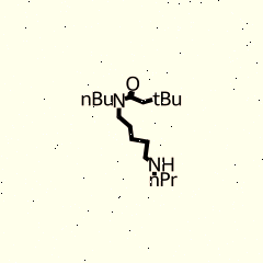 CCCCN(CCCCCNCCC)C(=O)CC(C)(C)C